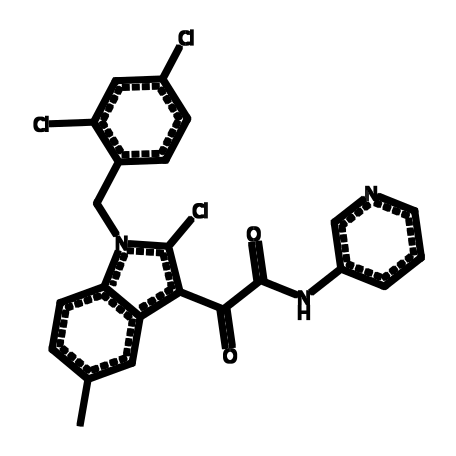 Cc1ccc2c(c1)c(C(=O)C(=O)Nc1cccnc1)c(Cl)n2Cc1ccc(Cl)cc1Cl